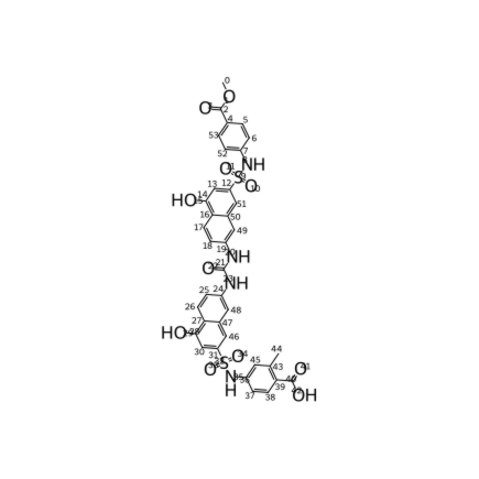 COC(=O)c1ccc(NS(=O)(=O)c2cc(O)c3ccc(NC(=O)Nc4ccc5c(O)cc(S(=O)(=O)Nc6ccc(C(=O)O)c(C)c6)cc5c4)cc3c2)cc1